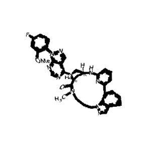 COc1cc(F)ccc1-n1ncc2c(N3C[C@@H]4C[C@H]3C(=O)N(C)CCCn3ncc5cccc(c53)-c3cccc(n3)N4)ncnc21